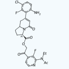 CCN(C(C)=O)c1nccc(C(=O)COC(=O)[C@H]2CCC3CC(c4c(N)ccc(Cl)c4F)=CC(=O)N32)c1F